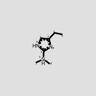 CCc1c[nH]c([SiH](C)C)n1